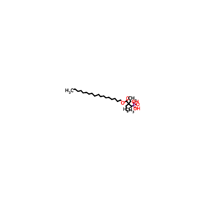 CCCCCCCCCCCCCCCCCCOC(=O)C(CC)(CC)C(C)P(=O)(O)O